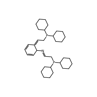 C1=CC(=CCP(C2CCCCC2)C2CCCCC2)C(N=CCP(C2CCCCC2)C2CCCCC2)C=C1